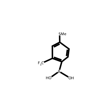 CSc1ccc(B(O)O)c(C(F)(F)F)c1